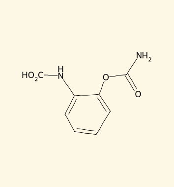 NC(=O)Oc1ccccc1NC(=O)O